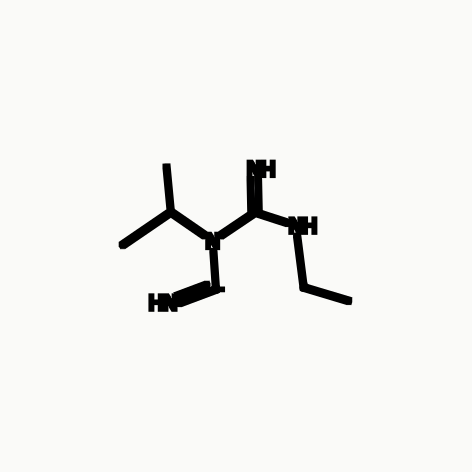 CCNC(=N)N([C]=N)C(C)C